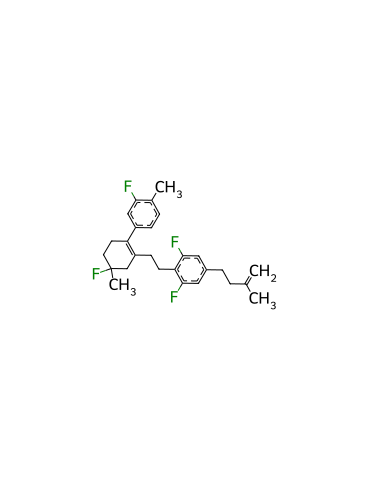 C=C(C)CCc1cc(F)c(CCC2=C(c3ccc(C)c(F)c3)CCC(C)(F)C2)c(F)c1